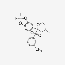 CC1CCOC(c2ccc3c(c2)OC(F)(F)O3)(S(=O)(=O)c2cccc(C(F)(F)F)c2)C1